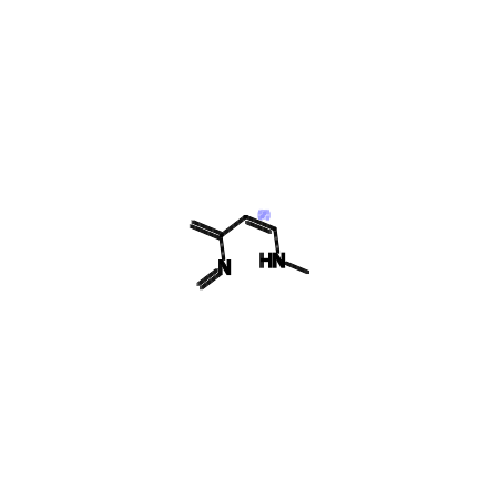 C=NC(=C)/C=C\NC